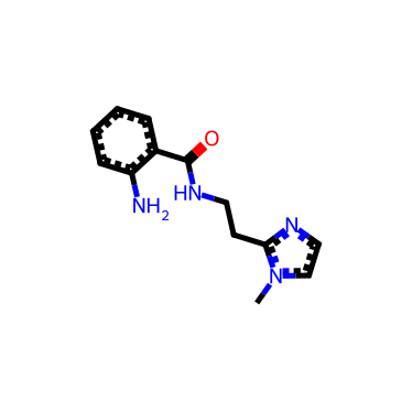 Cn1ccnc1CCNC(=O)c1ccccc1N